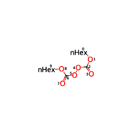 CCCCCCOC(=O)OOC(=O)OCCCCCC